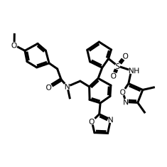 COc1ccc(CC(=O)N(C)Cc2cc(-c3ncco3)ccc2-c2ccccc2S(=O)(=O)Nc2onc(C)c2C)cc1